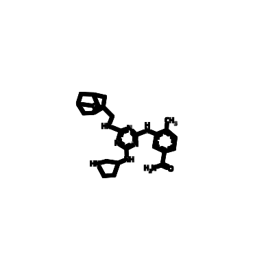 Cc1ccc(C(N)=O)cc1Nc1nc(NCC23CC4CC(CC2C4)C3)nc(NC2CCNC2)n1